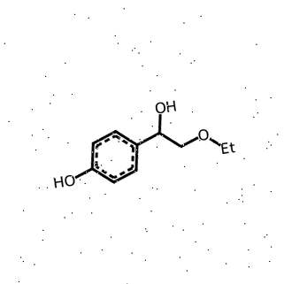 CCOCC(O)c1ccc(O)cc1